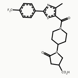 Cc1nc(-c2ccc(C(F)(F)F)cc2)sc1C(=O)N1CCC(N2CC(C(=O)O)CC2=O)CC1